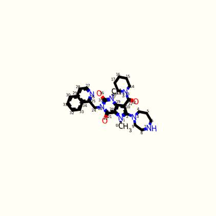 Cn1c(N2CCCNCC2)c(C(=O)N2CCCCC2)c2c1c(=O)n(Cc1nccc3ccccc13)c(=O)n2C